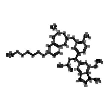 COc1cc(C(CC(=O)O)c2ccc(C)c(CN3C[C@@H](C)Oc4cc(CCCCCCN)ccc4S3)c2)cc2nnn(C)c12